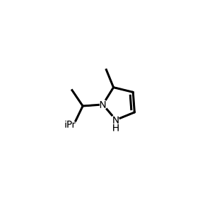 CC(C)C(C)N1NC=CC1C